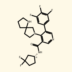 O=C(N[C@@H]1CCC(F)(F)C1)c1cncc(-c2cc(F)c(F)c(F)c2)c1N1CCC2(CCCN2)C1